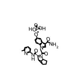 Cc1cccc(NC(=O)[C@@H]2C3C4CCC(C43)N2C(=O)Cn2cc(C(N)=O)c3cc(OCP(=O)(O)O)ccc32)n1